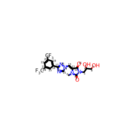 CN1C(=O)N(CC(O)CO)C(=O)/C1=C/n1cnc(-c2cc(C(F)(F)F)cc(C(F)(F)F)c2)n1